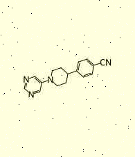 N#Cc1ccc(C2CCN(c3cncnc3)CC2)cc1